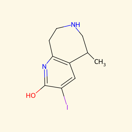 CC1CNCCc2nc(O)c(I)cc21